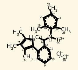 CC1=C(C)C(C)=C(c2ccccc2C(C)[N]([Ti+2])c2c(C)cc(C)cc2C)C1.[Cl-].[Cl-]